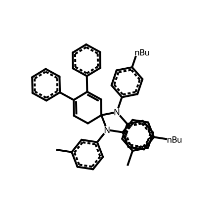 CCCCc1ccc(N(c2cccc(C)c2)C2(N(c3ccc(CCCC)cc3)c3cccc(C)c3)C=C(c3ccccc3)C(c3ccccc3)=CC2)cc1